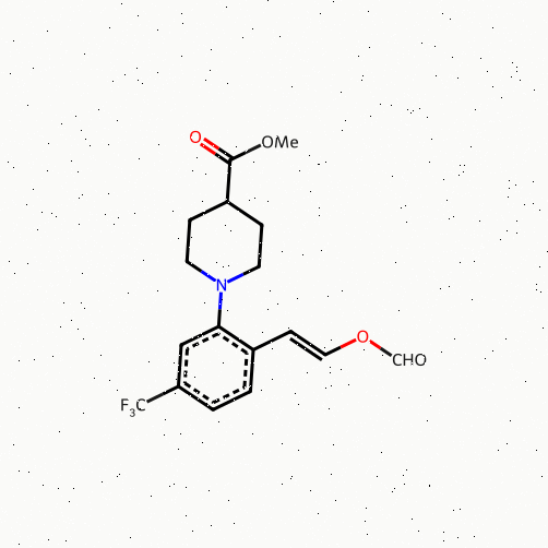 COC(=O)C1CCN(c2cc(C(F)(F)F)ccc2/C=C/OC=O)CC1